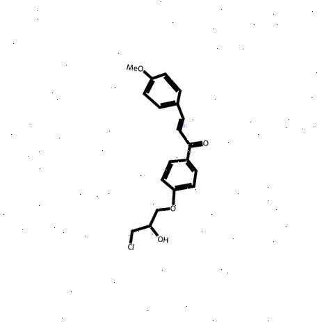 COc1ccc(/C=C/C(=O)c2ccc(OCC(O)CCl)cc2)cc1